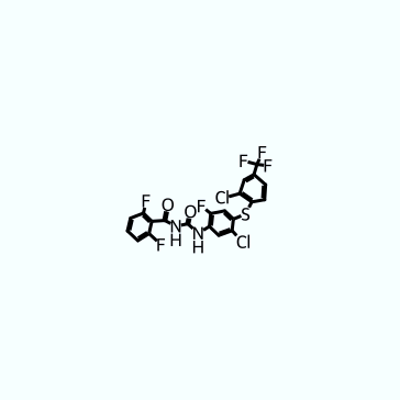 O=C(NC(=O)c1c(F)cccc1F)Nc1cc(Cl)c(Sc2ccc(C(F)(F)F)cc2Cl)cc1F